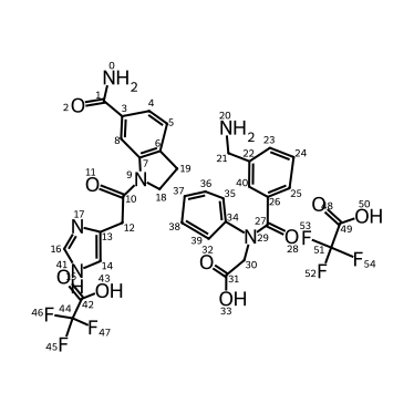 NC(=O)c1ccc2c(c1)N(C(=O)Cc1c[nH]cn1)CC2.NCc1cccc(C(=O)N(CC(=O)O)c2ccccc2)c1.O=C(O)C(F)(F)F.O=C(O)C(F)(F)F